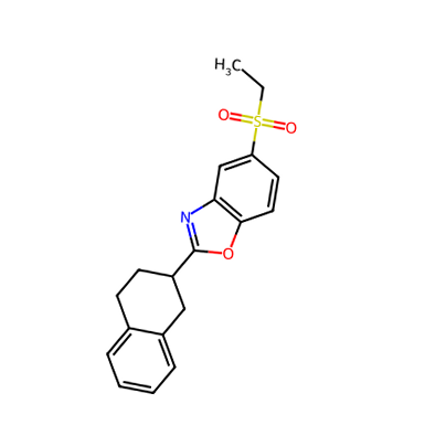 CCS(=O)(=O)c1ccc2oc(C3CCc4ccccc4C3)nc2c1